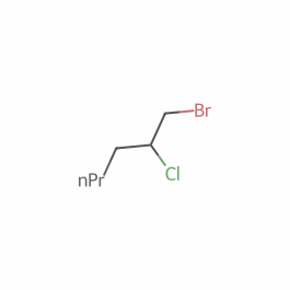 CCCCC(Cl)CBr